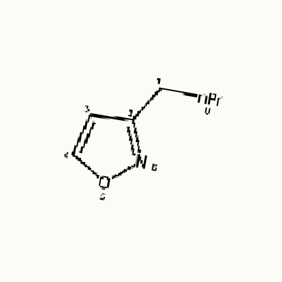 CCCCc1ccon1